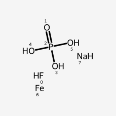 F.O=P(O)(O)O.[Fe].[NaH]